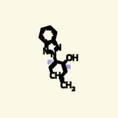 C=C/C=C(O)\C(=C/C)n1nc2ccccc2n1